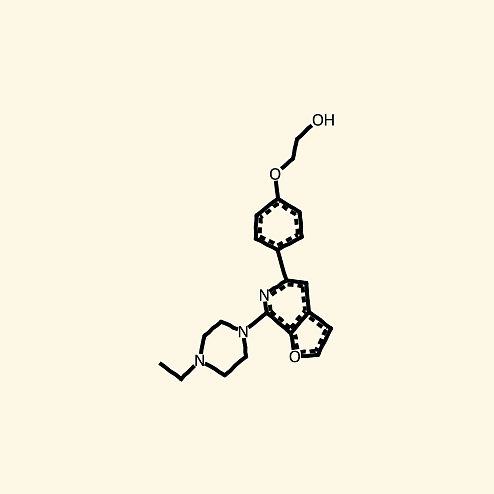 CCN1CCN(c2nc(-c3ccc(OCCO)cc3)cc3ccoc23)CC1